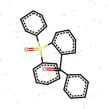 O=C(c1ccccc1)c1ccccc1[S+](=O)(c1ccccc1)c1ccccc1